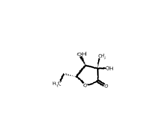 CC[C@H]1OC(=O)[C@@](C)(O)[C@@H]1O